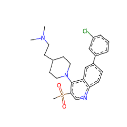 CN(C)CCC1CCN(c2c(S(C)(=O)=O)cnc3ccc(-c4cccc(Cl)c4)cc23)CC1